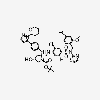 COc1ccc(CN(c2nccs2)S(=O)(=O)c2cc(Cl)c(NC[C@]3(Cc4ccc(-c5ccnn5[C@@H]5CCCCO5)cc4)C[C@H](O)CN3C(=O)OC(C)(C)C)cc2F)c(OC)c1